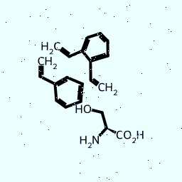 C=Cc1ccccc1.C=Cc1ccccc1C=C.N[C@@H](CO)C(=O)O